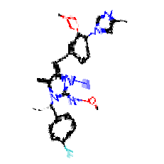 C=c1/c(=C/c2ccc(-n3cnc(C)c3)c(OC)c2)[nH]/c(=N\OC)n1[C@@H](C)c1ccc(F)cc1